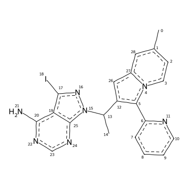 Cc1ccn2c(-c3ccccn3)c(C(C)n3nc(I)c4c(N)ncnc43)cc2c1